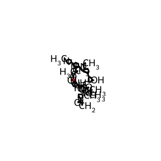 C=CC(=O)N1CC[C@H](C(=O)N(C)C(C(=O)N[C@H]2Cc3cc(O)cc(c3)-c3ccc4c(c3)c(c(-c3ccc(C5CCN(C)CC5)nc3)n4CC)CC(C)(C)COC(=O)[C@@H]3CCCN(N3)C2=O)C(C)C)C1